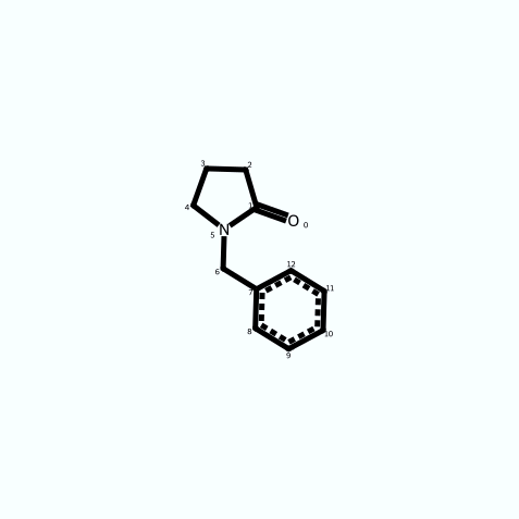 O=C1CCCN1Cc1c[c]ccc1